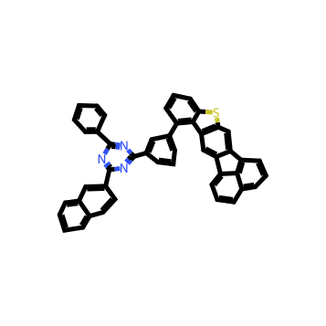 c1ccc(-c2nc(-c3cccc(-c4cccc5sc6cc7c(cc6c45)-c4cccc5cccc-7c45)c3)nc(-c3ccc4ccccc4c3)n2)cc1